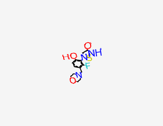 O=C1CN(c2c(O)ccc(CN3CCOCC3)c2F)SN1